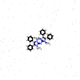 CN1C(=NC2=[N+](C)[C@@H](c3ccccc3)[C@H](c3ccccc3)N2C)N(C)[C@@H](c2ccccc2)[C@@H]1c1ccccc1